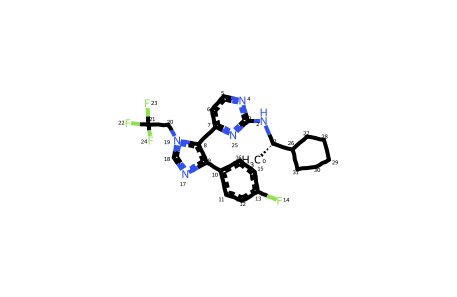 C[C@H](Nc1nccc(-c2c(-c3ccc(F)cc3)ncn2CC(F)(F)F)n1)C1CCCCC1